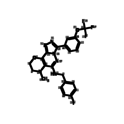 CN1CCOc2c1c(NCc1ccc(F)cc1)nn1c(-c3cccc(OC(F)(F)F)c3)nnc21